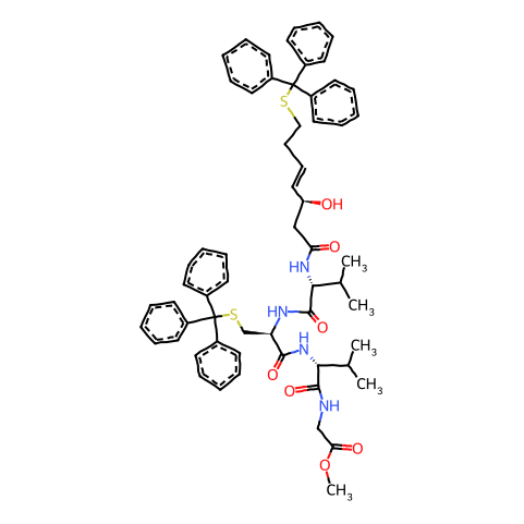 COC(=O)CNC(=O)[C@H](NC(=O)[C@@H](CSC(c1ccccc1)(c1ccccc1)c1ccccc1)NC(=O)[C@H](NC(=O)C[C@H](O)C=CCCSC(c1ccccc1)(c1ccccc1)c1ccccc1)C(C)C)C(C)C